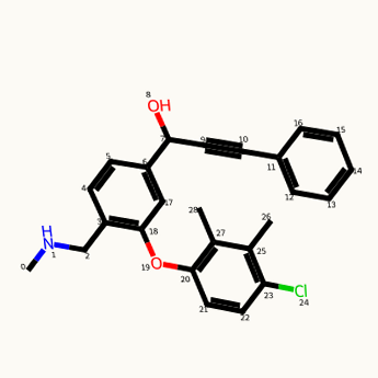 CNCc1ccc(C(O)C#Cc2ccccc2)cc1Oc1ccc(Cl)c(C)c1C